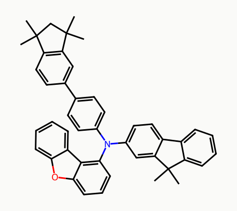 CC1(C)CC(C)(C)c2cc(-c3ccc(N(c4ccc5c(c4)C(C)(C)c4ccccc4-5)c4cccc5oc6ccccc6c45)cc3)ccc21